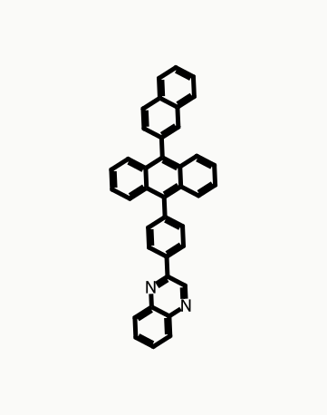 c1ccc2cc(-c3c4ccccc4c(-c4ccc(-c5cnc6ccccc6n5)cc4)c4ccccc34)ccc2c1